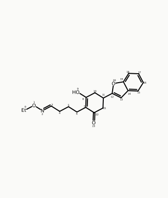 CCON=CCCCC1=C(O)CC(c2cc3ccccc3o2)CC1=O